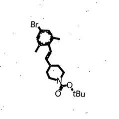 Cc1cc(Br)cc(C)c1C=CC1CCN(C(=O)OC(C)(C)C)CC1